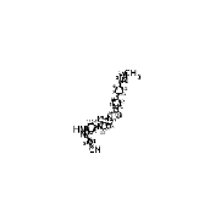 Cn1cnc(-c2ccc(C3=CCN(C(=O)CN4CCC5(CCN(c6ccc7[nH]nc(C89CC(C#N)(C8)C9)c7c6)C5=O)C4)CC3)cc2)n1